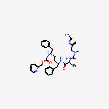 CC(C)c1nc(CN(C)C(=O)N[C@H](C(=O)N[C@H](CC[C@H](Cc2ccccc2)NC(=O)OCc2ccccn2)Cc2ccccc2)C(C)C)cs1